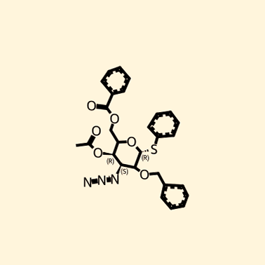 CC(=O)O[C@H]1C(COC(=O)c2ccccc2)O[C@H](Sc2ccccc2)C(OCc2ccccc2)[C@H]1N=[N+]=[N-]